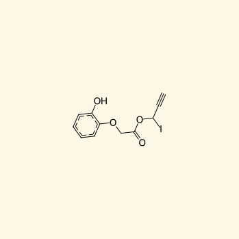 C#CC(I)OC(=O)COc1ccccc1O